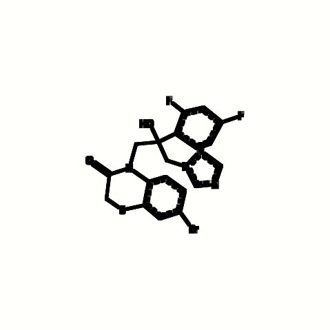 O=C1CSc2cc(Br)ccc2N1CC(O)(Cn1cncn1)c1ccc(F)cc1F